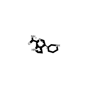 NC(=O)c1ncc([C@@H]2CCCNC2)c2cc[nH]c12